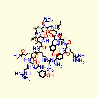 CCCC[C@H](NC(=O)[C@H](Cc1ccc(O)cc1)NC(=O)[C@H](C)NC(=O)[C@H](CCCNC(=N)N)NC(=O)c1ccc(CN)cc1)C(=O)N[C@@H](CC(N)=O)C(=O)N[C@@H](CC(C)C)C(=O)N[C@H](C(=O)N[C@H](C(=O)N[C@@H](CCCNC(=N)N)C(=O)N[C@@H](CCC(N)=O)C(=O)N[C@@H](CCCNC(=N)N)C(=O)N[C@@H](Cc1ccc(O)cc1)C(N)=O)[C@@H](C)O)[C@@H](C)CC